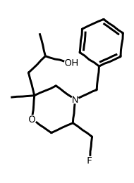 CC(O)CC1(C)CN(Cc2ccccc2)C(CF)CO1